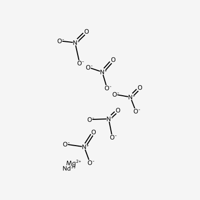 O=[N+]([O-])[O-].O=[N+]([O-])[O-].O=[N+]([O-])[O-].O=[N+]([O-])[O-].O=[N+]([O-])[O-].[Mg+2].[Nd+3]